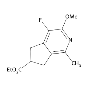 CCOC(=O)C1Cc2c(C)nc(OC)c(F)c2C1